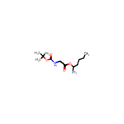 CCCCC(C)OC(=O)CNC(=O)OC(C)(C)C